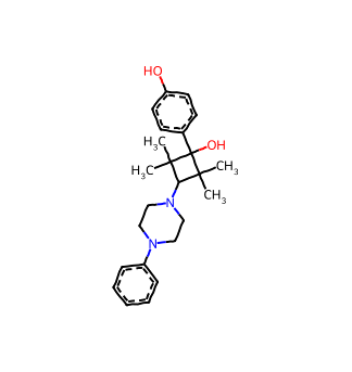 CC1(C)C(N2CCN(c3ccccc3)CC2)C(C)(C)C1(O)c1ccc(O)cc1